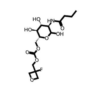 CCCC(=O)N[C@H]1C(O)O[C@H](COC(=O)OCC2(F)COC2)[C@@H](O)[C@@H]1O